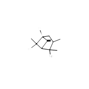 C=C1C2C(C)(N)C(C)C[C@H]1C2(C)CC